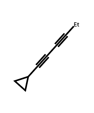 CCC#CC#CC1CC1